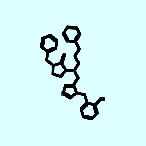 N#Cc1ccccc1Cn1cncc1CN(CCCc1ccccc1)C1CCN(Cc2ccccc2)C1=O